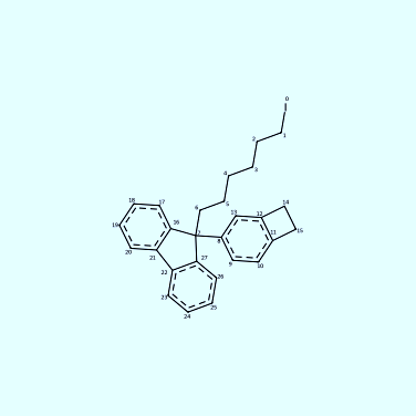 ICCCCCCC1(c2ccc3c(c2)CC3)c2ccccc2-c2ccccc21